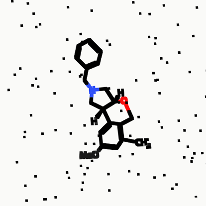 COc1cc(C)c2c(c1)[C@@H]1CN(Cc3ccccc3)C[C@@H]1OC2